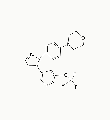 FC(F)(F)Oc1cccc(-c2ccnn2-c2ccc(N3CCOCC3)cc2)c1